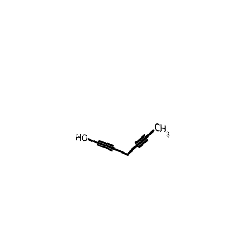 CC#CCC#CO